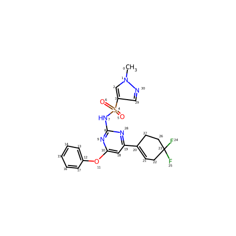 Cn1cc(S(=O)(=O)Nc2nc(Oc3ccccc3)cc(C3=CCC(F)(F)CC3)n2)cn1